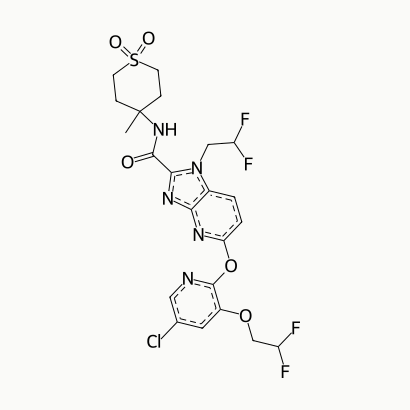 CC1(NC(=O)c2nc3nc(Oc4ncc(Cl)cc4OCC(F)F)ccc3n2CC(F)F)CCS(=O)(=O)CC1